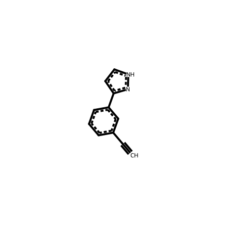 C#Cc1cccc(-c2cc[nH]n2)c1